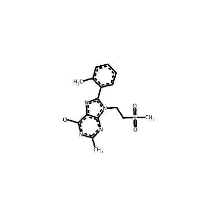 Cc1nc(Cl)c2nc(-c3ccccc3C)n(CCS(C)(=O)=O)c2n1